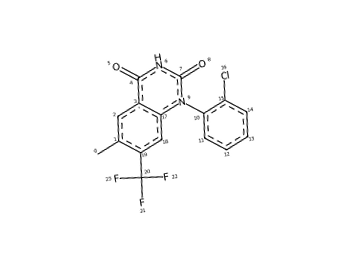 Cc1cc2c(=O)[nH]c(=O)n(-c3ccccc3Cl)c2cc1C(F)(F)F